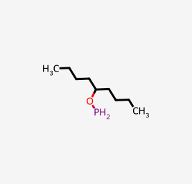 CCCCC(CCCC)OP